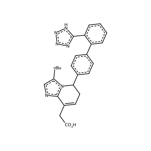 CCCCc1cnc2n1C(c1ccc(-c3ccccc3-c3nnn[nH]3)cc1)CC=C2CC(=O)O